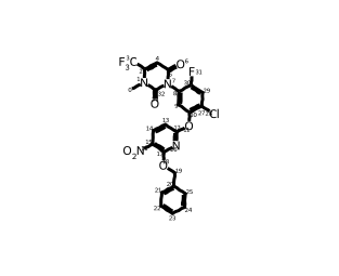 Cn1c(C(F)(F)F)cc(=O)n(-c2cc(Oc3ccc([N+](=O)[O-])c(OCc4ccccc4)n3)c(Cl)cc2F)c1=O